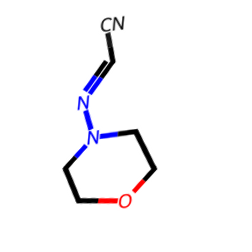 N#C/C=N/N1CCOCC1